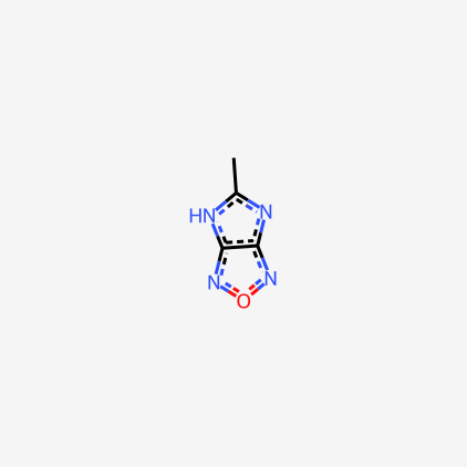 Cc1nc2nonc2[nH]1